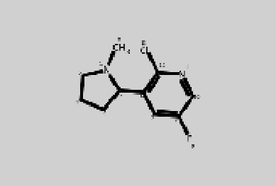 CN1CCCC1c1cc(F)cnc1Cl